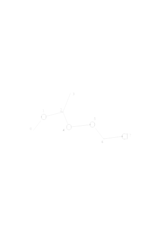 COC(C)OOCCl